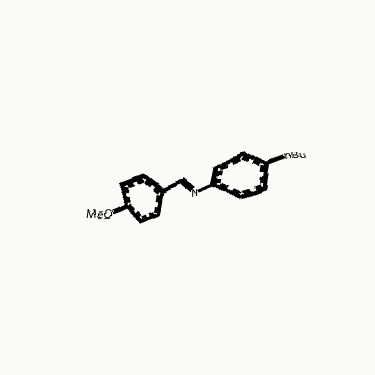 CCCCc1c[c]c(/N=C/c2ccc(OC)cc2)cc1